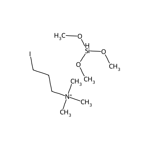 CO[SiH](OC)OC.C[N+](C)(C)CCCI